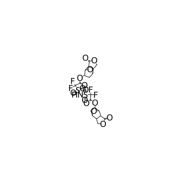 O=C1OCC2C3CC(OC(=O)C(F)(F)S(=O)(=O)NS(=O)(=O)C(F)(F)C(=O)OC4CC5OC4C4C(=O)OCC54)C(O3)C12